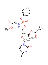 C=C1C=CN([C@@H]2O[C@H](COP(=O)(N[C@@H](C)C(=O)OC(C)C)Oc3ccccc3)[C@@H](OC(=O)C3CC3)[C@@]2(C)C#N)C(=O)N1